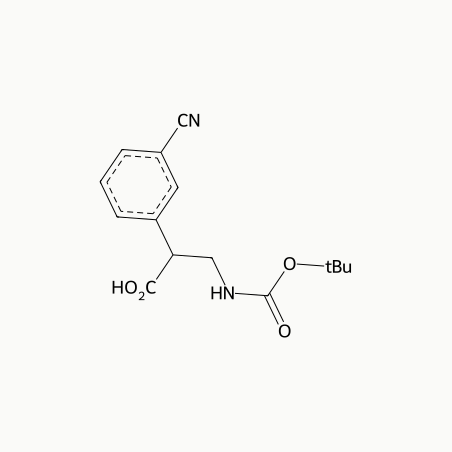 CC(C)(C)OC(=O)NCC(C(=O)O)c1cccc(C#N)c1